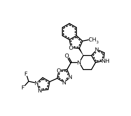 Cc1c([C@H]2c3nc[nH]c3CCN2C(=O)c2nnc(-c3cnn(C(F)F)c3)o2)oc2ccccc12